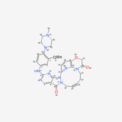 COc1cc(Nc2ncc3c(=O)n4n(c3n2)-c2ccc3c(n2)N(CCC#CC4)C(=O)CO3)ccc1N1CCN(C)CC1